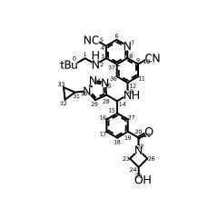 CC(C)(C)CNc1c(C#N)cnc2c(C#N)cc(NC(c3cccc(C(=O)N4CC(O)C4)c3)c3cn(C4CC4)nn3)cc12